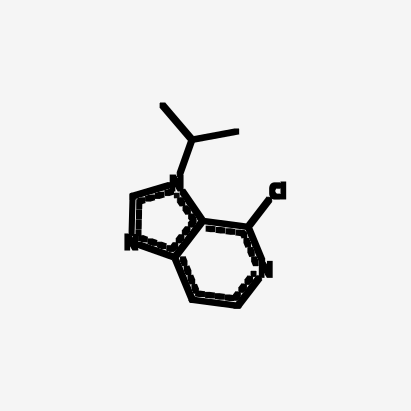 CC(C)n1cnc2ccnc(Cl)c21